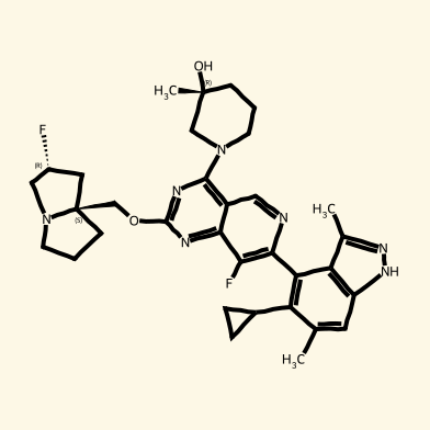 Cc1cc2[nH]nc(C)c2c(-c2ncc3c(N4CCC[C@@](C)(O)C4)nc(OC[C@@]45CCCN4C[C@H](F)C5)nc3c2F)c1C1CC1